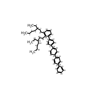 CCCCC(CC)CCc1cccc(-c2ccc(-c3ccc(-c4ccc(-c5ccccc5)cc4)cc3)cc2)c1CCC(CC)CCCC